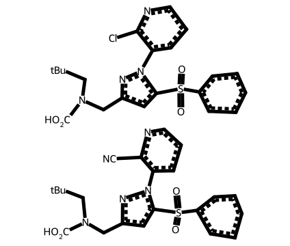 CC(C)(C)CN(Cc1cc(S(=O)(=O)c2ccccc2)n(-c2cccnc2C#N)n1)C(=O)O.CC(C)(C)CN(Cc1cc(S(=O)(=O)c2ccccc2)n(-c2cccnc2Cl)n1)C(=O)O